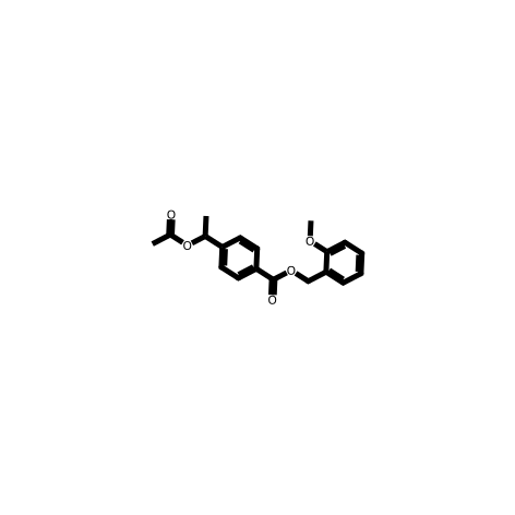 COc1ccccc1COC(=O)c1ccc(C(C)OC(C)=O)cc1